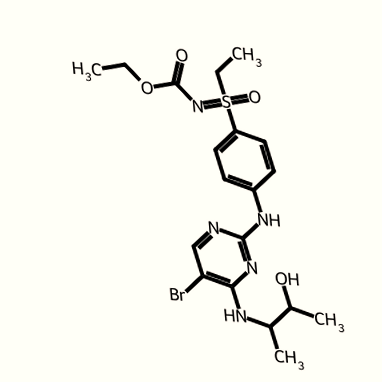 CCOC(=O)N=S(=O)(CC)c1ccc(Nc2ncc(Br)c(NC(C)C(C)O)n2)cc1